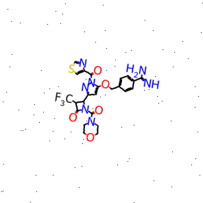 N=C(N)c1ccc(COc2cc(C3C(C(F)(F)F)C(=O)N3C(=O)N3CCOCC3)nn2C(=O)c2cscn2)cc1